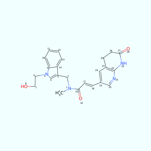 CN(Cc1cn(CCO)c2ccccc12)C(=O)C=Cc1cnc2c(c1)CCC(=O)N2